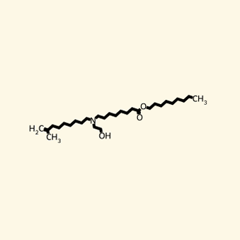 C=C(C)CCCCCCCN(CCO)CCCCCCCC(=O)OCCCCCCCCC